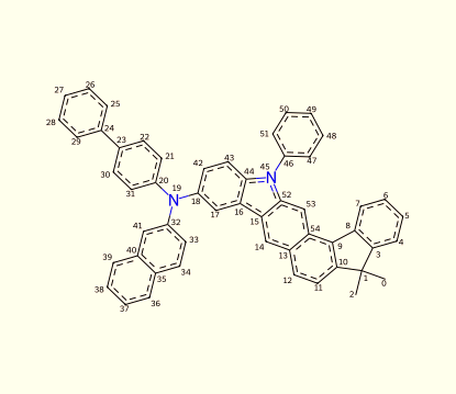 CC1(C)c2ccccc2-c2c1ccc1cc3c4cc(N(c5ccc(-c6ccccc6)cc5)c5ccc6ccccc6c5)ccc4n(-c4ccccc4)c3cc21